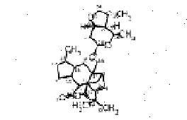 CC(C)C1=CC2CC3(C=O)C4CCC(C)C4CC2(CO[C@H]2C[C@@H]4OC[C@H](C)[C@H]4[C@@H](C)O2)C13C(=O)O